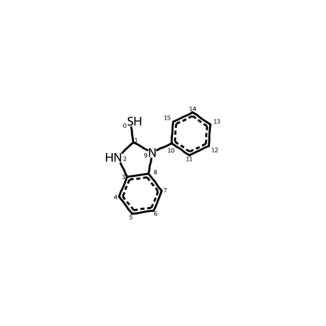 SC1Nc2ccccc2N1c1ccccc1